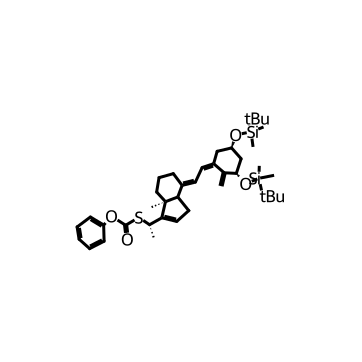 C=C1/C(=C\C=C2/CCC[C@]3(C)C([C@H](C)SC(=O)Oc4ccccc4)=CCC23)C[C@@H](O[Si](C)(C)C(C)(C)C)C[C@@H]1O[Si](C)(C)C(C)(C)C